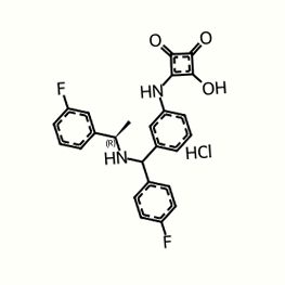 C[C@@H](NC(c1ccc(F)cc1)c1cccc(Nc2c(O)c(=O)c2=O)c1)c1cccc(F)c1.Cl